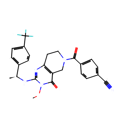 COn1c(N[C@@H](C)c2ccc(C(F)(F)F)cc2)nc2c(c1=O)CN(C(=O)c1ccc(C#N)cc1)CC2